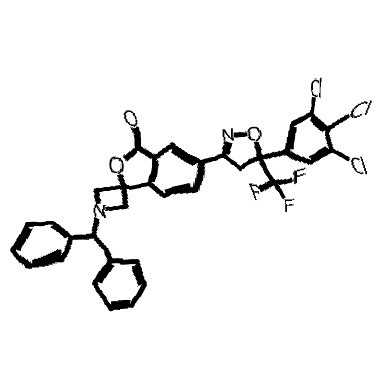 O=C1OC2(CN(C(c3ccccc3)c3ccccc3)C2)c2ccc(C3=NOC(c4cc(Cl)c(Cl)c(Cl)c4)(C(F)(F)F)C3)cc21